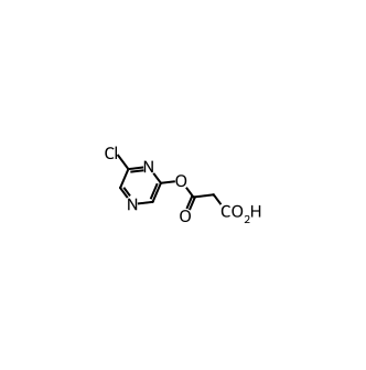 O=C(O)CC(=O)Oc1cncc(Cl)n1